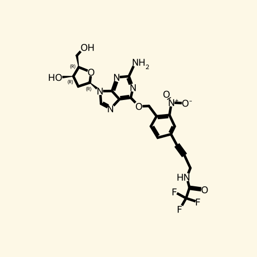 Nc1nc(OCc2ccc(C#CCNC(=O)C(F)(F)F)cc2[N+](=O)[O-])c2ncn([C@H]3C[C@@H](O)[C@@H](CO)O3)c2n1